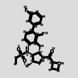 CCS(=O)(=O)N[C@H]1[C@@H](F)CN(C(=O)C2CCO2)[C@H]1Cc1cccc(-c2cccc(F)c2)c1F